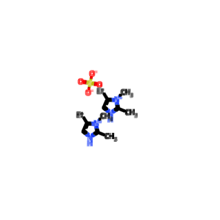 CCc1c[nH]c(C)[n+]1C.CCc1c[nH]c(C)[n+]1C.O=S(=O)([O-])[O-]